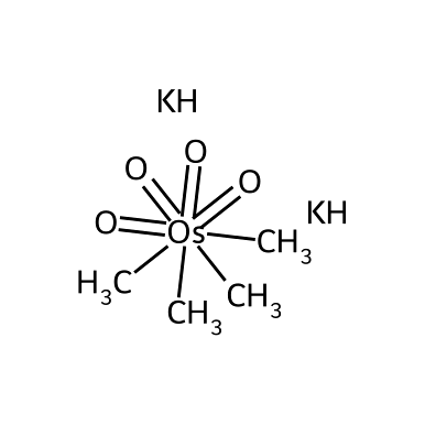 [CH3][Os]([CH3])([CH3])([CH3])(=[O])(=[O])(=[O])=[O].[KH].[KH]